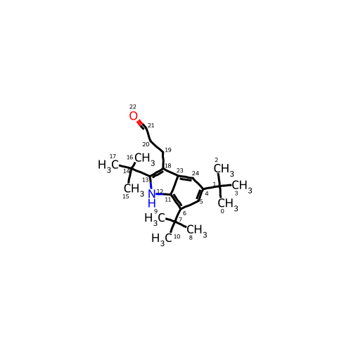 CC(C)(C)c1cc(C(C)(C)C)c2[nH]c(C(C)(C)C)c(CCC=O)c2c1